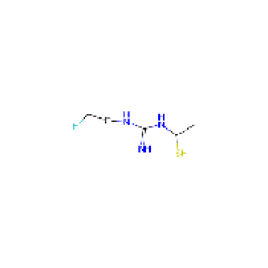 CC(S)NC(=N)NCCF